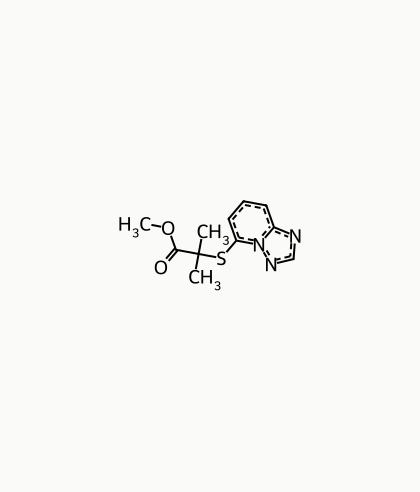 COC(=O)C(C)(C)Sc1cccc2ncnn12